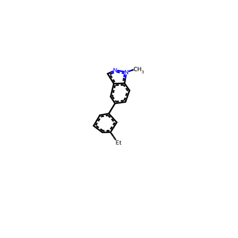 CCc1cccc(-c2ccc3c(cnn3C)c2)c1